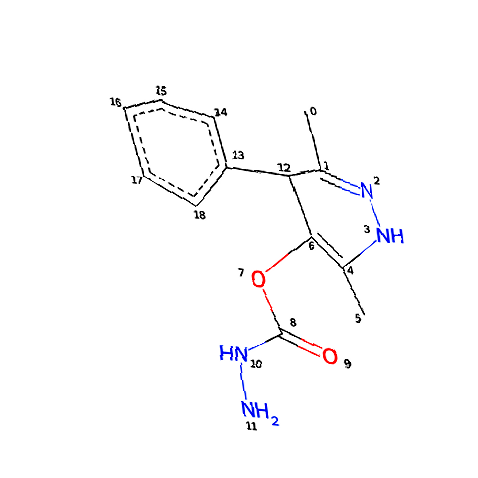 CC1=NNC(C)=C(OC(=O)NN)C1c1ccccc1